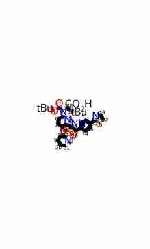 CC(C)(C)OC(=O)N(c1cccc(C(N)(Cc2ccc(-c3nccs3)cc2)S(=O)(=O)c2ccccn2)n1)C(C(=O)O)C(C)(C)C